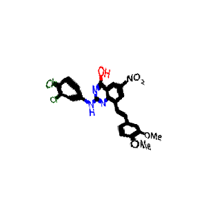 COc1ccc(C=Cc2cc([N+](=O)[O-])cc3c(O)nc(Nc4ccc(Cl)c(Cl)c4)nc23)cc1OC